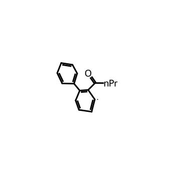 CCCC(=O)c1[c]cccc1-c1ccccc1